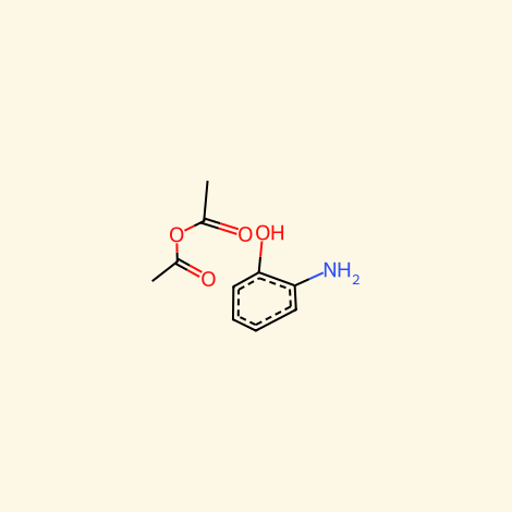 CC(=O)OC(C)=O.Nc1ccccc1O